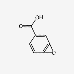 O=C(O)c1ccc2c(c1)O2